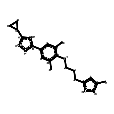 Cc1cc(CCCOc2c(C)cc(-c3noc(C4CC4)n3)cc2C)on1